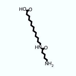 NCCCCC(=O)NCCCCCCCCCCCCC(=O)O